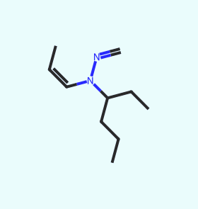 C=NN(/C=C\C)C(CC)CCC